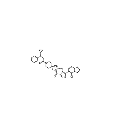 O=C(CC(c1ccccc1)C1CC1)N1CCC(O)(Cn2cnc3c(-c4ccc5c(c4Cl)CC[CH]5)scc3c2=O)CC1